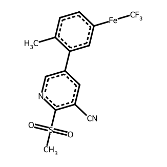 Cc1cc[c]([Fe][C](F)(F)F)cc1-c1cnc(S(C)(=O)=O)c(C#N)c1